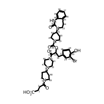 O=C(O)CCC(=O)N1CCC(N2CCN(C(=O)C(Cc3ccc(O)c(Br)c3)OC(=O)N3CCC(N4CCc5ccccc5NC4=O)CC3)CC2)CC1